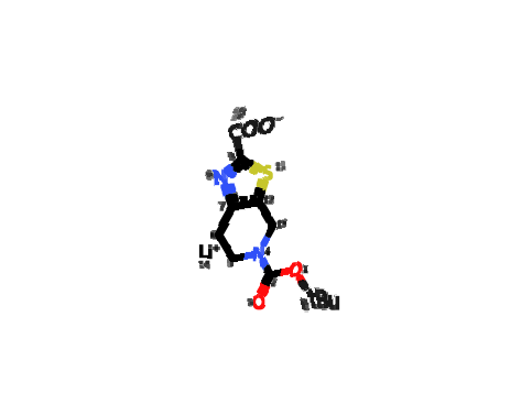 CC(C)(C)OC(=O)N1CCc2nc(C(=O)[O-])sc2C1.[Li+]